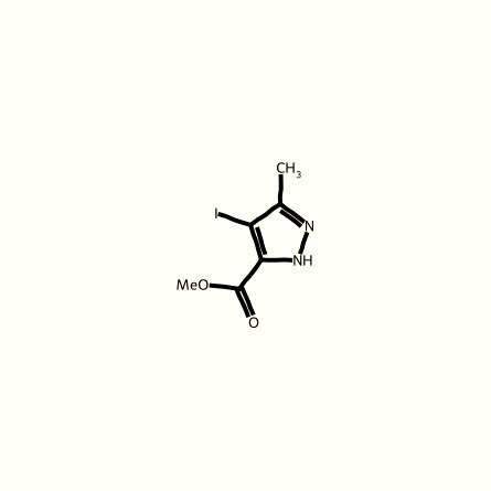 COC(=O)c1[nH]nc(C)c1I